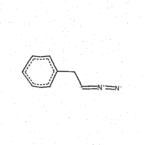 [N-]=[N+]=[C]Cc1ccccc1